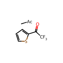 CC(C)=O.O=C(c1cccs1)C(F)(F)F